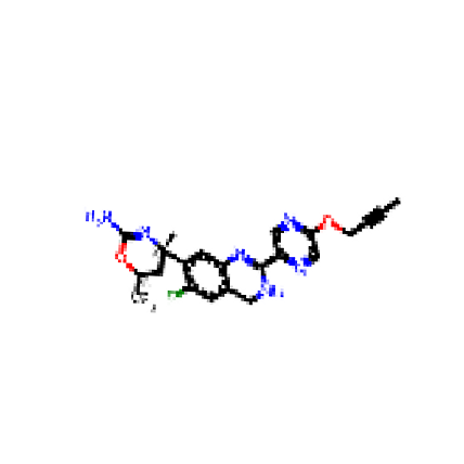 CC#CCOc1cnc(C2=Nc3cc([C@]4(C)C[C@@H](C(F)(F)F)OC(N)=N4)c(F)cc3CN2)cn1